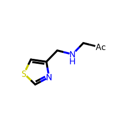 CC(=O)CNCc1cscn1